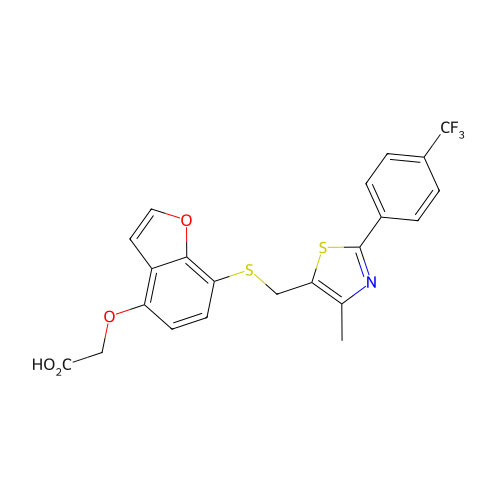 Cc1nc(-c2ccc(C(F)(F)F)cc2)sc1CSc1ccc(OCC(=O)O)c2ccoc12